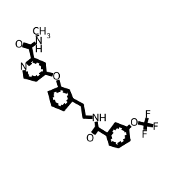 CNC(=O)c1cc(Oc2cccc(CCNC(=O)c3cccc(OC(F)(F)F)c3)c2)ccn1